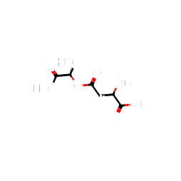 CC(=O)C(C)OC(=O)CC(O)C(=O)O